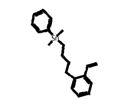 C=Cc1ccccc1CCC[CH2][Sn]([CH3])([CH3])[c]1ccccc1